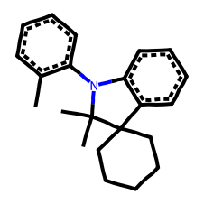 Cc1ccccc1N1c2ccccc2C2(CCCCC2)C1(C)C